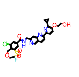 O=C(NCc1cc2nc(-c3ccc(OCCO)c(C4CC4)n3)ccc2cn1)c1cc(Cl)c2c(c1)S(=O)(=O)[C@@H](F)COC2